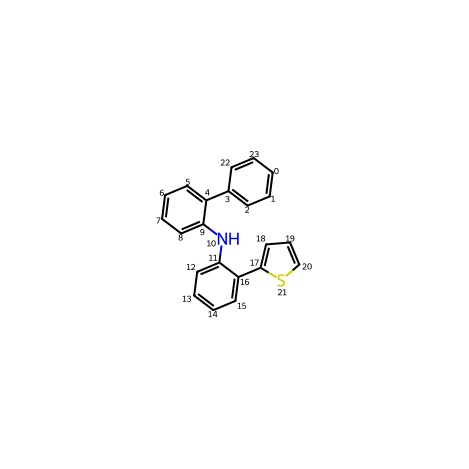 c1ccc(-c2ccccc2Nc2ccccc2-c2cccs2)cc1